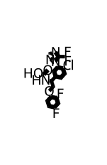 O=C(O)NC(COc1ccc(F)cc1F)c1ccc(Cl)c(-n2ncnc2C(F)F)c1